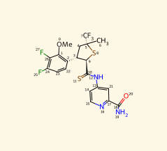 COc1c([C@@H]2C[C@](C)(C(F)(F)F)S[C@H]2C(=S)Nc2ccnc(C(N)=O)c2)ccc(F)c1F